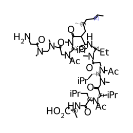 C/C=C/C[C@@H](C)CC(C(=O)N[C@@H](CC)N(C)C(=O)CN(C(C)=O)[C@@H](CC(C)C)N(C)C(=O)[C@@H](C(C)C)N(C(C)=O)[C@H](CC(C)C)C(=O)N[C@@H](C)C(=O)O)C(=O)N(C)[C@H](C(C)C)N(CC(=O)N(C)CN(C)C(=O)CN)C(C)=O